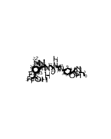 CCC1=NCC(C2(O)CCC(N3CC(NC(=O)CNc4nn(C)c5ccc(C(O)C(F)(F)F)cc45)C3)CC2)S1